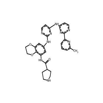 Cc1cccc(-c2nccc(Nc3ccnc(Nc4cc(NC(=O)C5CCNCC5)c5c(c4)OCCO5)n3)n2)n1